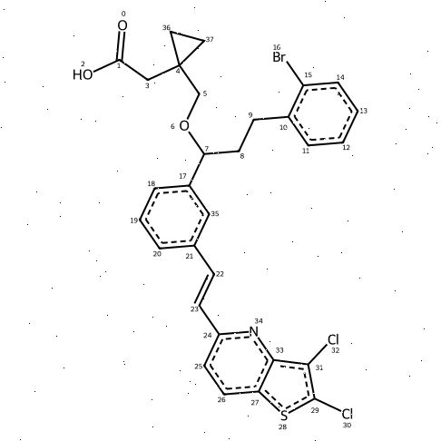 O=C(O)CC1(COC(CCc2ccccc2Br)c2cccc(C=Cc3ccc4sc(Cl)c(Cl)c4n3)c2)CC1